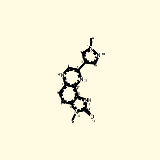 Cn1cc(-c2cnc3ccc4c([nH]c(=O)n4C)c3n2)cn1